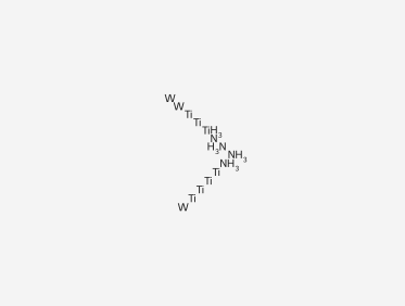 N.N.N.N.[Ti].[Ti].[Ti].[Ti].[Ti].[Ti].[Ti].[W].[W].[W]